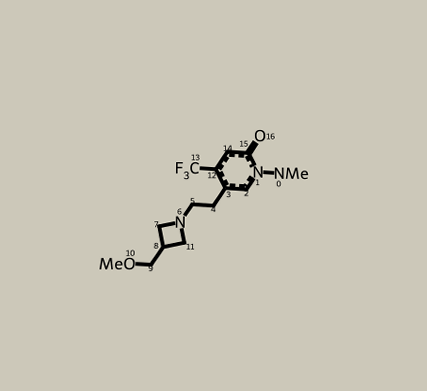 CNn1cc(CCN2CC(COC)C2)c(C(F)(F)F)cc1=O